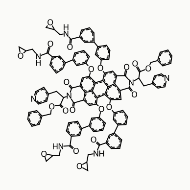 O=C(NCC1CO1)c1cccc(-c2cccc(Oc3cc4c5c(cc(Oc6cccc(-c7cccc(C(=O)NCC8CO8)c7)c6)c6c7c(Oc8cccc(-c9cccc(C(=O)NCC%10CO%10)c9)c8)cc8c9c(cc(Oc%10cccc(-c%11cccc(C(=O)NCC%12CO%12)c%11)c%10)c(c3c56)c97)C(=O)N(C(Cc3ccncc3)C(=O)OCc3ccccc3)C8=O)C(=O)N(C(Cc3ccncc3)C(=O)OCc3ccccc3)C4=O)c2)c1